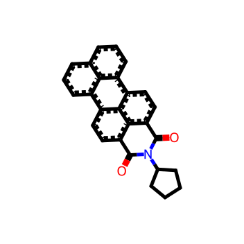 O=C1c2ccc3c4cccc5cccc(c6ccc(c2c36)C(=O)N1C1CCCC1)c54